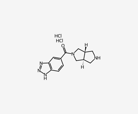 Cl.Cl.O=C(c1ccc2[nH]nnc2c1)N1C[C@@H]2CNC[C@H]2C1